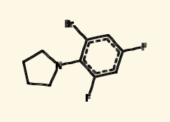 Fc1cc(F)c(N2CCCC2)c(Br)c1